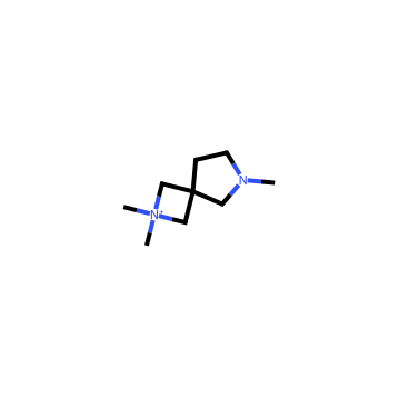 CN1CCC2(C1)C[N+](C)(C)C2